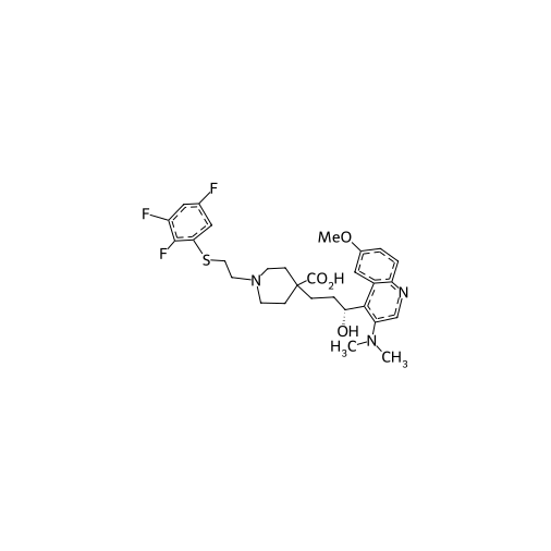 COc1ccc2ncc(N(C)C)c([C@H](O)CCC3(C(=O)O)CCN(CCSc4cc(F)cc(F)c4F)CC3)c2c1